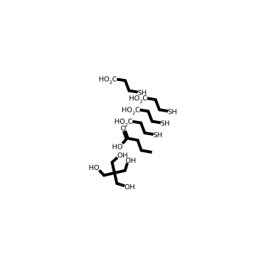 CCCC(=O)O.O=C(O)CCS.O=C(O)CCS.O=C(O)CCS.O=C(O)CCS.OCC(CO)(CO)CO